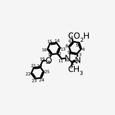 Cc1nc2ccc(C(=O)O)cc2n1Cc1ccccc1OCc1ccccc1